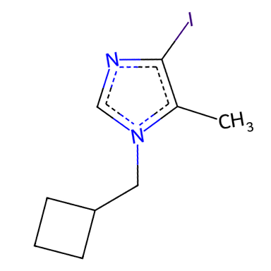 Cc1c(I)ncn1CC1CCC1